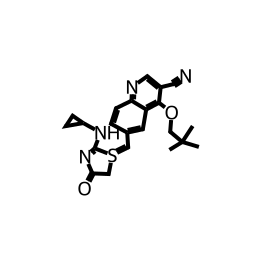 CC(C)(C)COc1c(C#N)cnc2ccc(/C=S3/CC(=O)N=C3NC3CC3)cc12